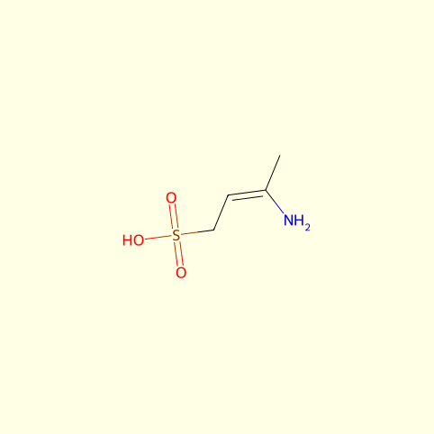 CC(N)=CCS(=O)(=O)O